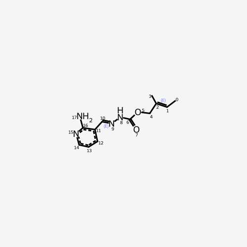 C/C=C(\C)COC(=O)N/N=C/c1cccnc1N